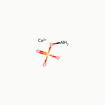 O=P([O-])([O-])[O][AlH2].[Ca+2]